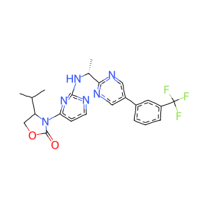 CC(C)C1COC(=O)N1c1ccnc(N[C@H](C)c2ncc(-c3cccc(C(F)(F)F)c3)cn2)n1